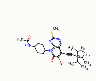 CSc1ncc2c(C#C[Si](C(C)C)(C(C)C)C(C)C)c(Br)c(=O)n(C3CCC(NC(C)=O)CC3)c2n1